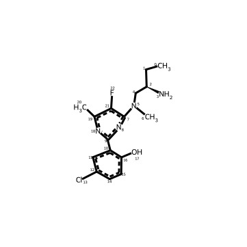 CC[C@@H](N)CN(C)c1nc(-c2cc(Cl)ccc2O)nc(C)c1F